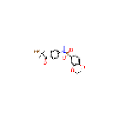 CC(C)(S)C(=O)c1ccc(NS(=O)(=O)c2ccc3c(c2)OCCO3)cc1